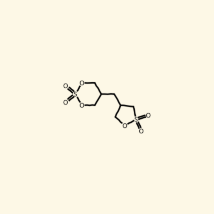 O=S1(=O)CC(CC2COS(=O)(=O)OC2)CO1